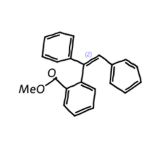 COC(=O)c1ccccc1/C(=C\c1ccccc1)c1ccccc1